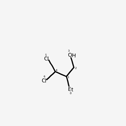 CCC(CO)C(Cl)Cl